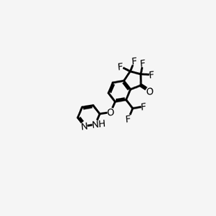 O=C1c2c(ccc(OC3C=CC=NN3)c2C(F)F)C(F)(F)C1(F)F